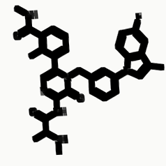 CNC(=O)c1cccc(-c2cnc(NC(=O)C(C)NC)c(=O)n2Cc2cccc(-n3cc(C)c4cc(F)ccc43)c2)c1C